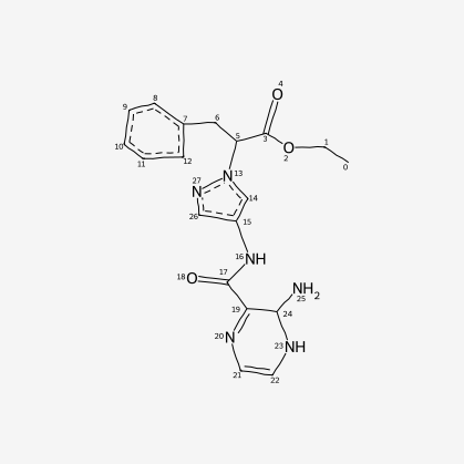 CCOC(=O)C(Cc1ccccc1)n1cc(NC(=O)C2=NC=CNC2N)cn1